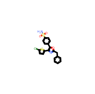 NS(=O)(=O)c1ccc(-c2oc(Cc3ccccc3)nc2-c2ccc(Cl)s2)cc1